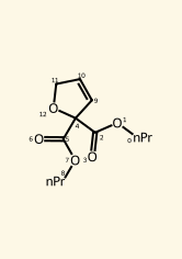 CCCOC(=O)C1(C(=O)OCCC)C=CCO1